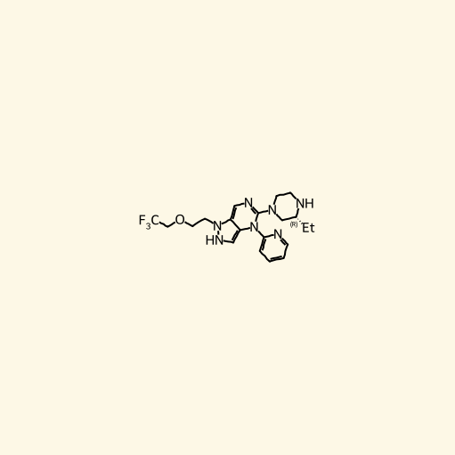 CC[C@@H]1CN(C2=NC=C3C(=CNN3CCOCC(F)(F)F)N2c2ccccn2)CCN1